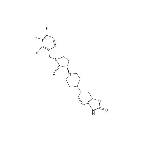 O=C1[C@H](N2CCC(c3ccc4[nH]c(=O)oc4c3)CC2)CCN1Cc1ccc(F)c(F)c1F